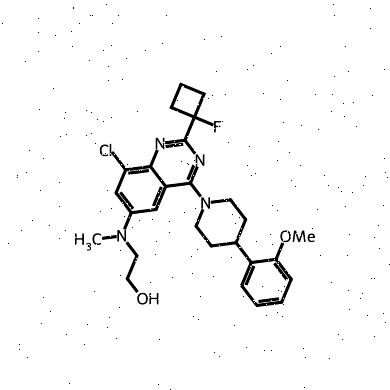 COc1ccccc1C1CCN(c2nc(C3(F)CCC3)nc3c(Cl)cc(N(C)CCO)cc23)CC1